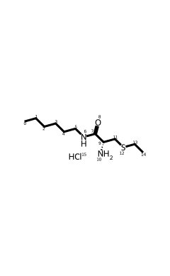 CCCCCCNC(=O)[C@@H](N)CSCC.Cl